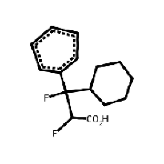 O=C(O)C(F)C(F)(c1ccccc1)C1CCCCC1